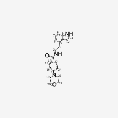 O=C(NCCc1cccc2[nH]ccc12)c1ccc(N2CCOCC2)cc1